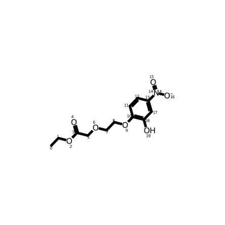 CCOC(=O)COCCOc1ccc([N+](=O)[O-])cc1O